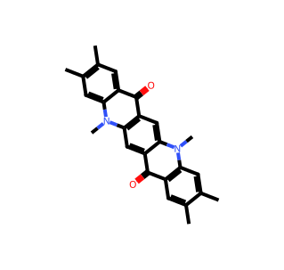 Cc1cc2c(=O)c3cc4c(cc3n(C)c2cc1C)c(=O)c1cc(C)c(C)cc1n4C